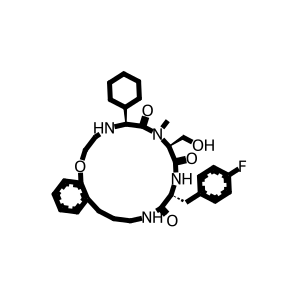 CN1C(=O)[C@H](C2CCCCC2)NCCOc2ccccc2CCCNC(=O)[C@@H](Cc2ccc(F)cc2)NC(=O)[C@@H]1CO